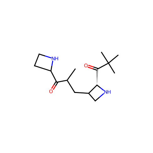 CC(CC1CN[C@H]1C(=O)C(C)(C)C)C(=O)C1CCN1